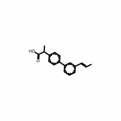 CC=Cc1cccc(-c2ccc(C(C)C(=O)O)cc2)c1